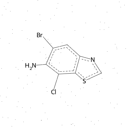 Nc1c(Br)cc2ncsc2c1Cl